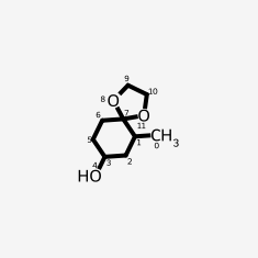 CC1CC(O)CCC12OCCO2